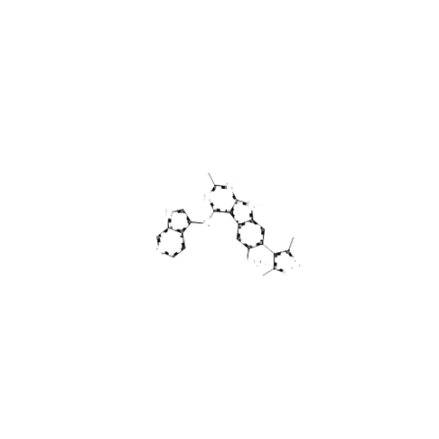 COc1cc2c(cc1-c1c(C)noc1C)[nH]c1nc(C)nc(Nc3c[nH]c4cnccc34)c12